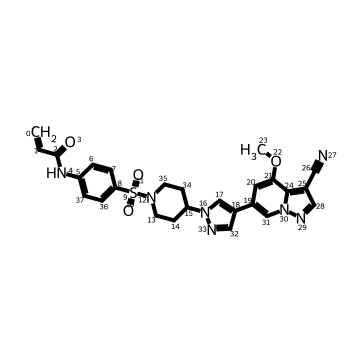 C=CC(=O)Nc1ccc(S(=O)(=O)N2CCC(n3cc(-c4cc(OC)c5c(C#N)cnn5c4)cn3)CC2)cc1